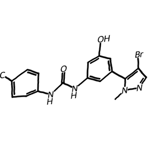 Cn1ncc(Br)c1-c1cc(O)cc(NC(=O)Nc2ccc(C#N)cc2)c1